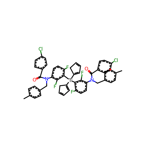 Cc1ccc(CN(C(=O)c2ccc(Cl)cc2)c2ccc(F)[c]([Ti]([C]3=CC=CC3)([C]3=CC=CC3)[c]3c(F)ccc(N(Cc4ccc(C)cc4)C(=O)c4ccc(Cl)cc4)c3F)c2F)cc1